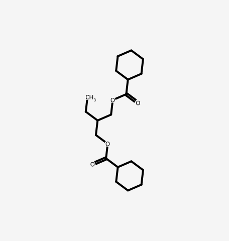 CCC(COC(=O)C1CCCCC1)COC(=O)C1CCCCC1